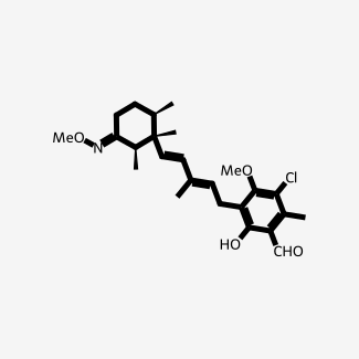 CO/N=C1\CC[C@@H](C)[C@](C)(/C=C/C(C)=C/Cc2c(O)c(C=O)c(C)c(Cl)c2OC)[C@H]1C